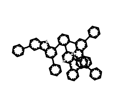 c1ccc(-c2ccc3sc4c(-c5cccc(-c6cc(-c7ccccc7)cc7c6sc6ccc(-c8ccccc8)cc67)c5-c5cnc6c7ccccc7c7ccccc7c6n5)cc(-c5ccccc5)cc4c3c2)cc1